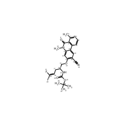 Cc1nccc2c1c(=O)n(C)c1cc(OC[C@H](CC=C(F)F)NC(=O)OC(C)(C)C)c(C#N)cc21